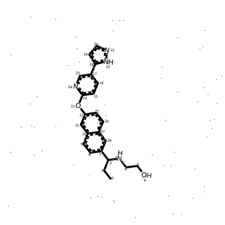 CCC(NCCO)c1ccc2cc(Oc3ccc(-c4ccn[nH]4)cn3)ccc2c1